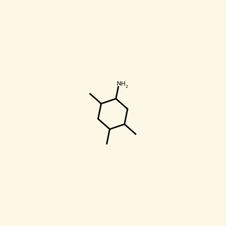 CC1CC(C)C(N)CC1C